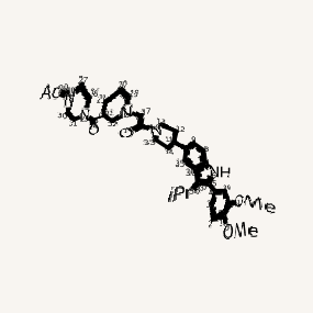 COc1ccc(-c2[nH]c3ccc(C4CCN(C(=O)CN5CCC[C@H](C(=O)N6CCN(C(C)=O)CC6)C5)CC4)cc3c2C(C)C)cc1OC